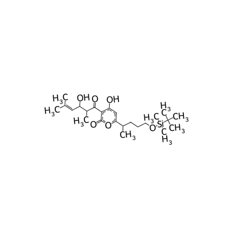 CC(C)=CC(O)C(C)C(=O)c1c(O)cc(C(C)CCCO[Si](C)(C)C(C)(C)C)oc1=O